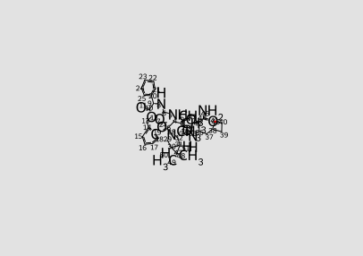 CC(C)(C)[C@H](NC(=O)N[C@@H](C(=O)OCc1ccccc1)c1ccccc1)C(=O)N1C[C@H]2[C@@H]([C@H]1C(=O)NC(CC1CCC1)C(=O)C(N)=O)C2(C)C